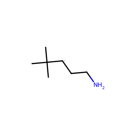 CC(C)(C)[CH]CCN